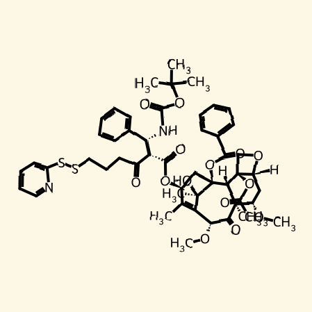 CO[C@H]1C(=O)[C@]2(C)[C@@H](OC)C[C@H]3OC[C@@]3(OC(C)=O)[C@H]2[C@@]2(OC(=O)c3ccccc3)C[C@H](OC(=O)[C@H](C(=O)CCCSSc3ccccn3)[C@@H](NC(=O)OC(C)(C)C)c3ccccc3)C(C)=C1[C@@]2(C)O